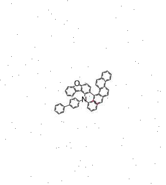 c1ccc(-c2ccc(N(c3ccccc3)c3c(-c4cccc5ccc6c7ccccc7ccc6c45)ccc4oc5ccccc5c34)cc2)cc1